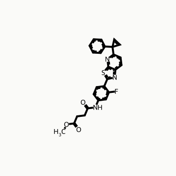 COC(=O)CCC(=O)Nc1ccc(-c2nc3ccc(C4(c5ccccc5)C=C4)nc3s2)c(F)c1